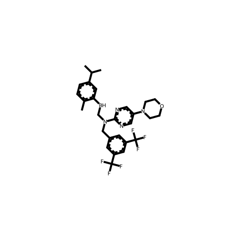 Cc1ccc(C(C)C)cc1BCN(Cc1cc(C(F)(F)F)cc(C(F)(F)F)c1)c1ncc(N2CCOCC2)cn1